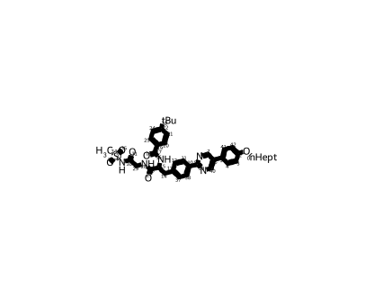 CCCCCCCOc1ccc(-c2cnc(-c3ccc(CC(NC(=O)c4ccc(C(C)(C)C)cc4)C(=O)NCC(=O)NS(C)(=O)=O)cc3)nc2)cc1